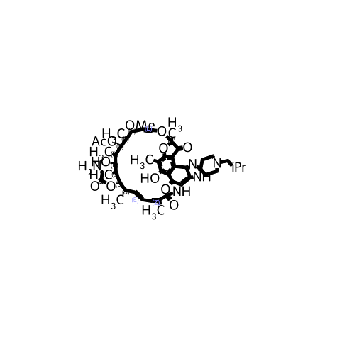 CO[C@H]1/C=C/O[C@@]2(C)Oc3c(C)c(O)c4c(c3C2=O)C2=NC3(CCN(CC(C)C)CC3)NC2=C(NC(=O)/C(C)=C\C=C\[C@H](C)[C@H](OC(=O)CN)[C@@H](C)[C@@H](O)[C@@H](C)[C@H](OC(C)=O)[C@@H]1C)C4=O